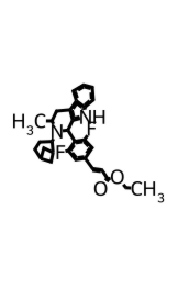 CCOC(=O)/C=C/c1cc(F)c(C2c3[nH]c4ccccc4c3CC(C)N2C2CCC3CC2C3)c(F)c1